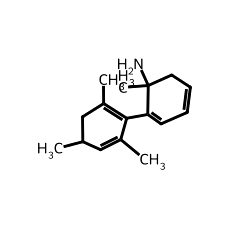 CC1=CC(C)CC(C)=C1C1=CC=CCC1(C)N